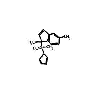 Cc1ccc2c(c1)C=C[C]2(C)[Zr]([CH3])([CH3])[CH]1C=CC=C1